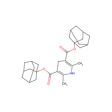 CC1=C(C(=O)OC23CC4CC(CC(C4)C2)C3)CC(C(=O)OC23CC4CC(CC(C4)C2)C3)=C(C)N1